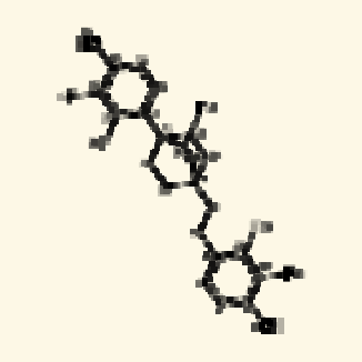 Oc1ccc(CCC23C=C(F)C(c4ccc(O)c(F)c4F)(CC2)CC3)c(F)c1F